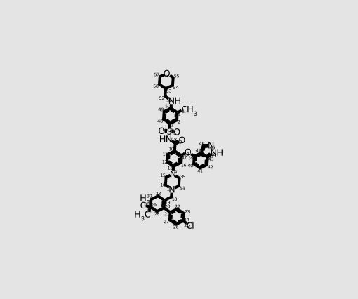 Cc1cc(S(=O)(=O)NC(=O)c2ccc(N3CCN(CC4=C(c5ccc(Cl)cc5)CC(C)(C)CC4)CC3)cc2Oc2cccc3[nH]ncc23)ccc1NCC1CCOCC1